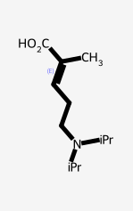 C/C(=C\CCN(C(C)C)C(C)C)C(=O)O